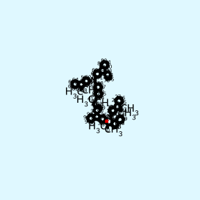 CC(C)(C)c1ccc2ccccc2c1N(c1ccc2c(c1)C(C)(C)c1ccccc1-2)c1ccc2c(c1)C1(CC3(CC(C)(C)c4ccc5ccc(N(c6ccc7c(c6)C(C)(C)c6ccccc6-7)c6ccc7c(c6)C6(CC8CCC6C8)c6ccccc6-7)cc5c4)CCC1C3)c1ccccc1-2